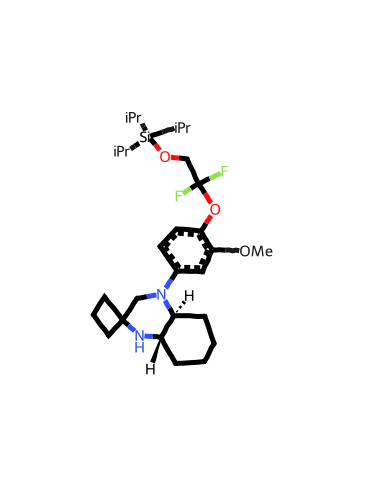 COc1cc(N2CC3(CCC3)N[C@H]3CCCC[C@@H]32)ccc1OC(F)(F)CO[Si](C(C)C)(C(C)C)C(C)C